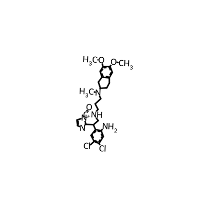 COc1cc2c(cc1OC)CC(N(C)CCCNCC(C1=NC=C[N+]1=C=O)c1cc(Cl)c(Cl)cc1N)CC2